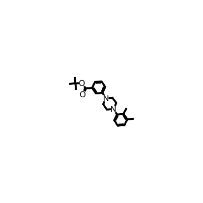 Cc1cccc(N2CCN(c3cccc(C(=O)OC(C)(C)C)c3)CC2)c1C